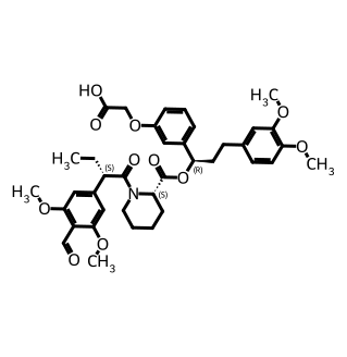 CC[C@H](C(=O)N1CCCC[C@H]1C(=O)O[C@H](CCc1ccc(OC)c(OC)c1)c1cccc(OCC(=O)O)c1)c1cc(OC)c(C=O)c(OC)c1